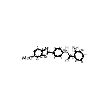 COc1ccc2nc(-c3ccc(NC(=O)c4ccccc4N)cc3)sc2c1